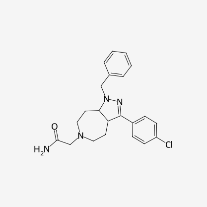 NC(=O)CN1CCC2C(c3ccc(Cl)cc3)=NN(Cc3ccccc3)C2CC1